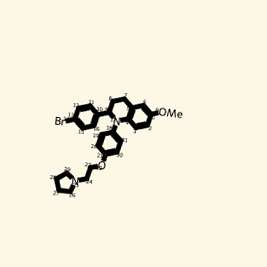 COc1ccc2c(c1)CCC(c1ccc(Br)cc1)N2c1ccc(OCCN2CCCC2)cc1